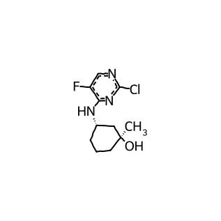 C[C@]1(O)CCC[C@H](Nc2nc(Cl)ncc2F)C1